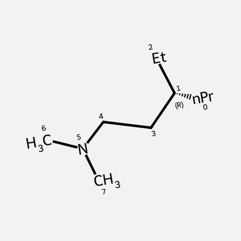 CCC[C@@H](CC)CCN(C)C